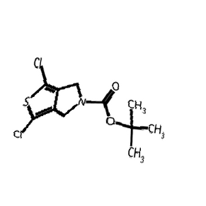 CC(C)(C)OC(=O)N1Cc2c(Cl)sc(Cl)c2C1